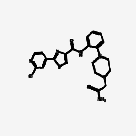 NC(=O)CN1CCN(c2ccccc2NC(=O)c2csc(-c3ccnc(Cl)c3)n2)CC1